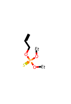 C=CCOP(=S)(OCC)OCC